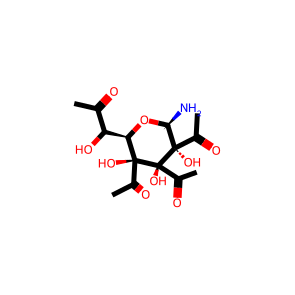 CC(=O)C(O)[C@H]1O[C@@H](N)[C@@](O)(C(C)=O)[C@](O)(C(C)=O)[C@]1(O)C(C)=O